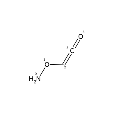 NOC=C=O